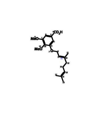 COc1cc(C(=O)O)cc(OC/C=C(\C)CCC=C(C)C)c1OC